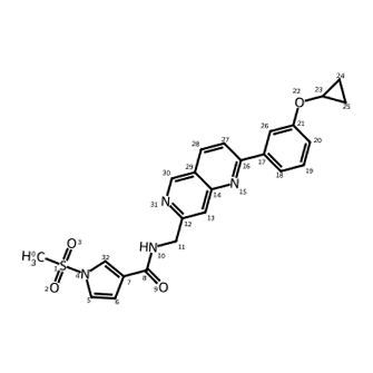 CS(=O)(=O)n1ccc(C(=O)NCc2cc3nc(-c4cccc(OC5CC5)c4)ccc3cn2)c1